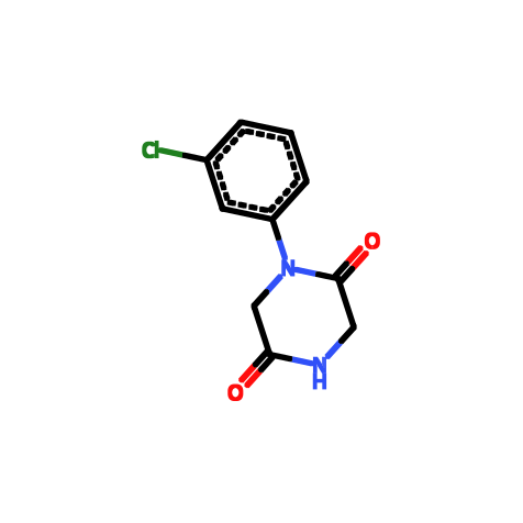 O=C1CN(c2cccc(Cl)c2)C(=O)CN1